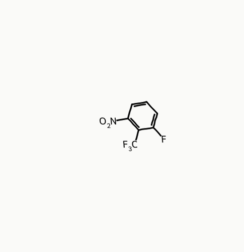 O=[N+]([O-])c1cccc(F)c1C(F)(F)F